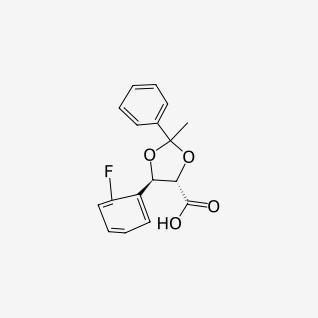 CC1(c2ccccc2)O[C@H](C(=O)O)[C@@H](c2ccccc2F)O1